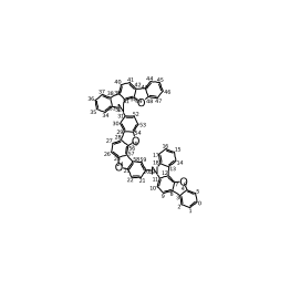 c1ccc2c(c1)oc1c2ccc2c1c1ccccc1n2-c1ccc2oc3ccc4c5cc(-n6c7ccccc7c7ccc8c9ccccc9oc8c76)ccc5oc4c3c2c1